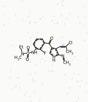 C=Nc1[nH]cc(C(=O)c2cccc(NS(=O)(=O)N(C)CC)c2F)c1/C=C(\C)Cl